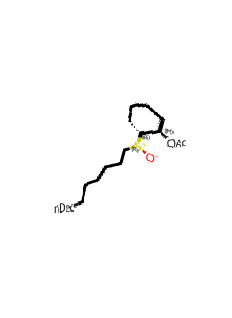 CCCCCCCCCCCCCCCC[S@+]([O-])[C@@H]1CCCC[C@H]1OC(C)=O